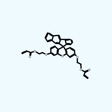 C=CC(=O)OCCOc1ccc2c(c1)Oc1cc(OCCOC(=O)C=C)ccc1C21c2ccccc2-c2cc3ccccc3cc21